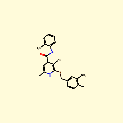 CC1=CC(C(=O)Nc2ccccc2C(F)(F)F)C(C#N)=C(SCc2ccc(C)c([N+](=O)[O-])c2)N1